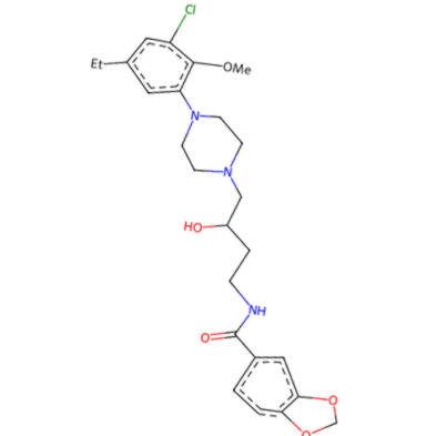 CCc1cc(Cl)c(OC)c(N2CCN(CC(O)CCNC(=O)c3ccc4c(c3)OCO4)CC2)c1